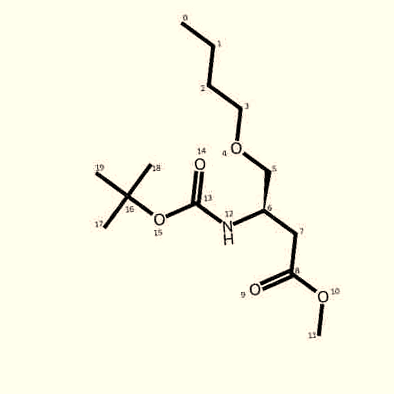 CCCCOC[C@@H](CC(=O)OC)NC(=O)OC(C)(C)C